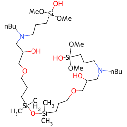 CCCCN(CCC[Si](O)(OC)OC)CC(O)COCCC[Si](C)(C)O[Si](C)(C)CCCOCC(O)CN(CCCC)CCC[Si](O)(OC)OC